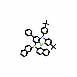 CC(C)(C)c1ccc(N(c2ccc(C(C)(C)C)cc2)c2cc(-c3ccccc3)cc(N(c3ccc4ccccc4c3)c3ccc4ccccc4c3)c2Br)cc1